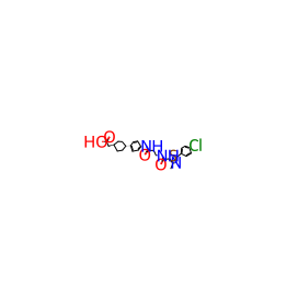 Cc1nc(-c2ccc(Cl)cc2)sc1C(=O)NCCC(=O)Nc1ccc([C@H]2CC[C@H](CC(=O)O)CC2)cc1